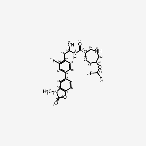 Cn1c(=O)oc2ccc(-c3ccc(C[C@@H](C#N)NC(=O)[C@@H]4CNC[C@@H](OC(F)F)CO4)c(F)c3)cc21